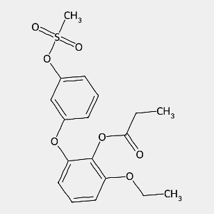 CCOc1cccc(Oc2cccc(OS(C)(=O)=O)c2)c1OC(=O)CC